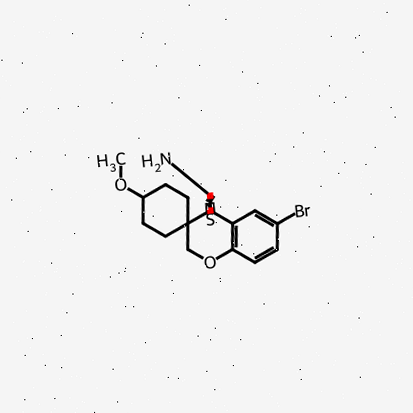 COC1CCC2(CC1)COc1ccc(Br)cc1C21CCSC(N)=N1